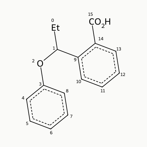 CCC(Oc1ccccc1)c1ccccc1C(=O)O